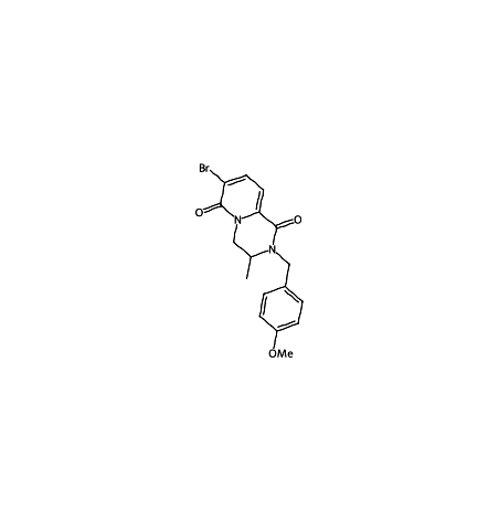 COc1ccc(CN2C(=O)c3ccc(Br)c(=O)n3CC2C)cc1